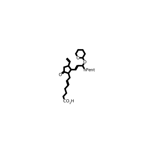 C=CC1CC(=O)C(CC=CCCCC(=O)O)C1C=CC(CCCCC)OC1CCCCO1